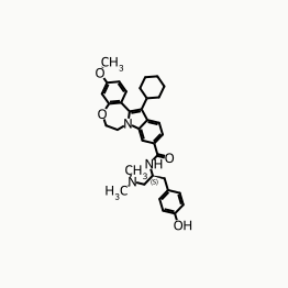 COc1ccc2c(c1)OCCn1c-2c(C2CCCCC2)c2ccc(C(=O)N[C@@H](Cc3ccc(O)cc3)CN(C)C)cc21